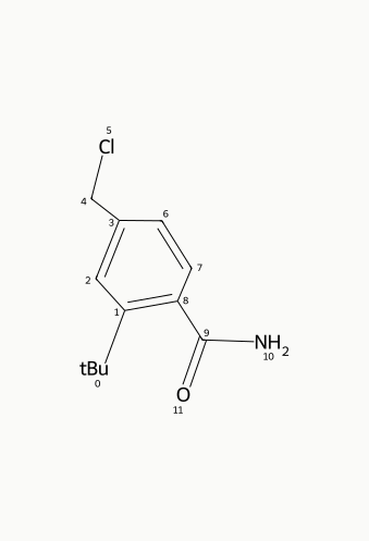 CC(C)(C)c1cc(CCl)ccc1C(N)=O